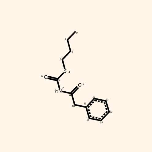 CCCCSC(=O)NC(=O)Cc1ccccc1